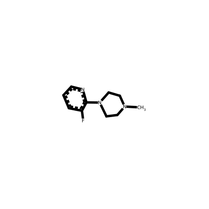 CN1CCN(c2ncccc2F)CC1